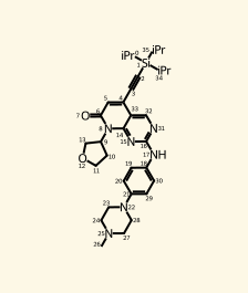 CC(C)[Si](C#Cc1cc(=O)n(C2CCOC2)c2nc(Nc3ccc(N4CCN(C)CC4)cc3)ncc12)(C(C)C)C(C)C